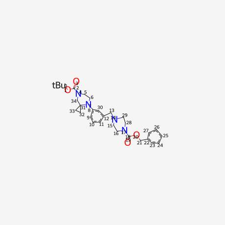 CC(C)(C)OC(=O)N1CCN(c2cccc(CN3CCN(C(=O)OCc4ccccc4)CC3)c2)C2(CC2)C1